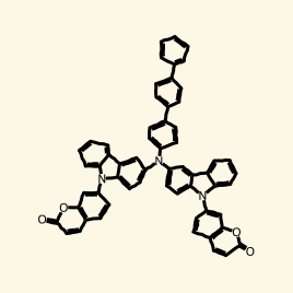 O=c1ccc2ccc(-n3c4ccccc4c4cc(N(c5ccc(-c6ccc(-c7ccccc7)cc6)cc5)c5ccc6c(c5)c5ccccc5n6-c5ccc6ccc(=O)oc6c5)ccc43)cc2o1